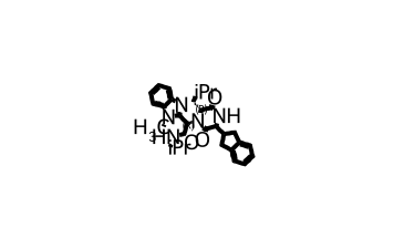 CC(C)C[C@@H]1C(=O)NC(C2Cc3ccccc3C2)C(=O)N1[C@@H](C(=O)NC(C)C)c1nc2ccccc2n1C